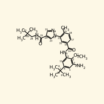 COc1c(N)cc(C(C)(C)C)cc1NC(=O)c1ccc(C)c(-n2cc(C(=O)NCC(C)(C)C)cn2)c1